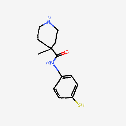 CC1(C(=O)Nc2ccc(S)cc2)CCNCC1